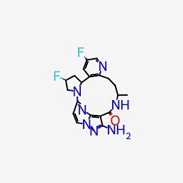 CC1CCc2ncc(F)cc2C2C[C@H](F)CN2c2ccn3nc(N)c(c3n2)C(=O)N1